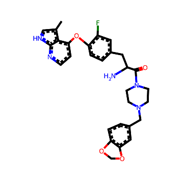 Cc1c[nH]c2nccc(Oc3ccc(CC(N)C(=O)N4CCN(Cc5ccc6c(c5)OCO6)CC4)cc3F)c12